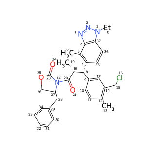 CCn1nnc2c(C)c([C@H](c3ccc(C)c(CCl)c3)[C@@H](C)C(=O)N3C(=O)OCC3Cc3ccccc3)ccc21